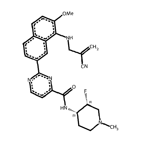 C=C(C#N)CNc1c(OC)ccc2ccc(-c3nccc(C(=O)N[C@H]4CCN(C)C[C@H]4F)n3)cc12